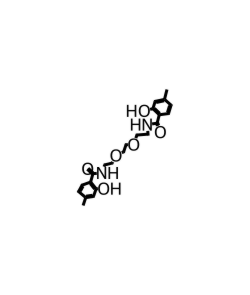 Cc1ccc(C(=O)NCCOCCOCCNC(=O)c2ccc(C)cc2O)c(O)c1